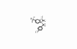 O=C(c1ccc(Cl)cc1)n1c(=O)[nH]c2cc(C(F)(F)F)ccc21